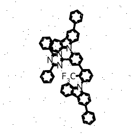 FC(F)(F)c1c(-c2ccc(-n3c4ccccc4c4cc(-c5ccccc5)ccc43)c(-c3nc(-c4ccccc4)nc(-c4ccccc4)n3)c2)cccc1-n1c2ccccc2c2cc(-c3ccccc3)ccc21